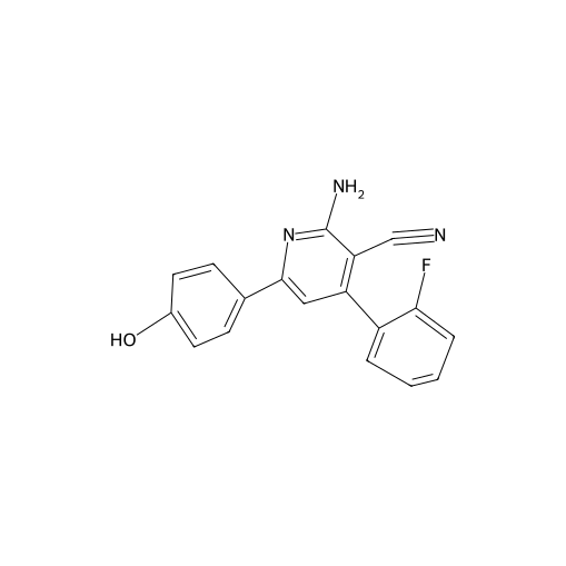 N#Cc1c(-c2ccccc2F)cc(-c2ccc(O)cc2)nc1N